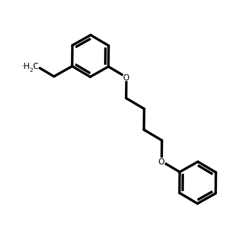 [CH2]Cc1cccc(OCCCCOc2ccccc2)c1